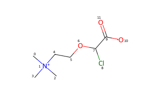 C[N+](C)(C)CCOC(Cl)C([O])=O